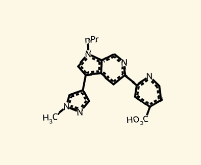 CCCn1cc(-c2cnn(C)c2)c2cc(-c3cc(C(=O)O)ccn3)ncc21